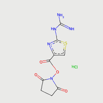 Cl.N=C(N)Nc1nc(C(=O)ON2C(=O)CCC2=O)cs1